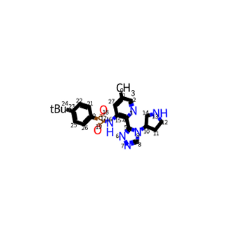 Cc1cnc(-c2nncn2C2CCNC2)c(NS(=O)(=O)c2ccc(C(C)(C)C)cc2)c1